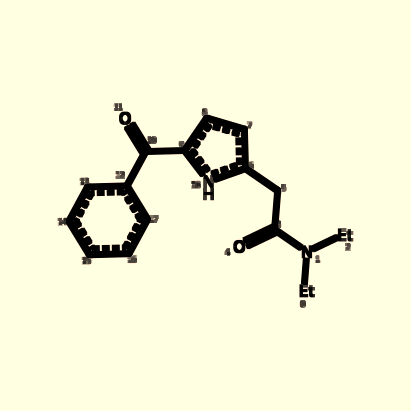 CCN(CC)C(=O)Cc1ccc(C(=O)c2ccccc2)[nH]1